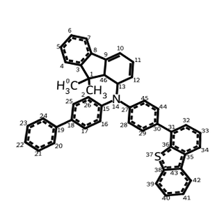 CC1(C)c2ccccc2C2=CC=CC(N(c3ccc(-c4ccccc4)cc3)c3ccc(-c4cccc5c4sc4ccccc45)cc3)C21